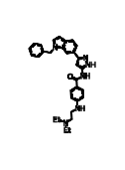 CCN(CC)CCNc1ccc(C(=O)Nc2cc(-c3ccc4ccn(Cc5ccccc5)c4c3)n[nH]2)cc1